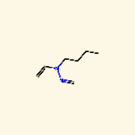 C=CN(CCCC)N=C